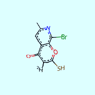 [2H]c1c(S)oc2c(Br)nc(C)cc2c1=O